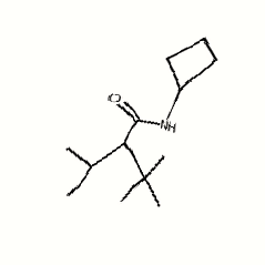 CC(C)C(C(=O)NC1CCC1)C(C)(C)C